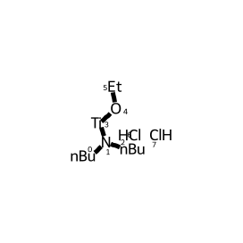 CCCC[N](CCCC)[Ti][O]CC.Cl.Cl